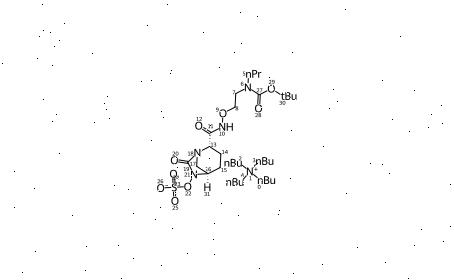 CCCC[N+](CCCC)(CCCC)CCCC.CCCN(CCONC(=O)[C@@H]1CC[C@@H]2CN1C(=O)N2OS(=O)(=O)[O-])C(=O)OC(C)(C)C